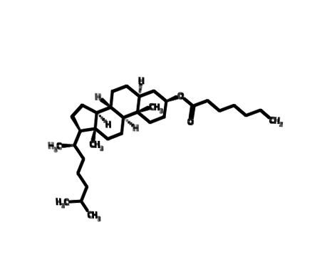 CCCCCCC(=O)O[C@H]1CC[C@@]2(C)[C@@H](CC[C@@H]3[C@@H]2CC[C@]2(C)[C@@H]([C@H](C)CCCC(C)C)CC[C@@H]32)C1